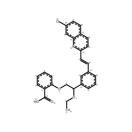 CCOC(COc1ccccc1C(=O)O)c1cccc(/C=C/c2ccc3ccc(Cl)cc3n2)c1